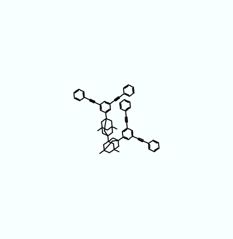 CC12CC3(C)CC(c4cc(C#Cc5ccccc5)cc(C#Cc5ccccc5)c4)(C1)CC(C14CC5(C)CC(C)(CC(c6cc(C#Cc7ccccc7)cc(C#Cc7ccccc7)c6)(C5)C1)C4)(C2)C3